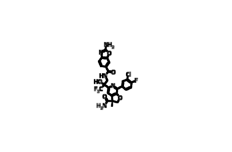 C[C@]1(C(N)=O)COc2c1cc(C(O)(CNC(=O)c1ccc3nc(N)oc3c1)C(F)(F)F)nc2-c1ccc(F)c(Cl)c1